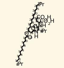 CC(C)CCCCCCCCCCCC(=O)OC(CCCCCCCCCCCC(C)C)CC(=O)N[C@H](C(=O)N[C@@H](CCC(=O)O)C(=O)O)C(C)C